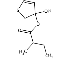 CCC(C)C(=O)OC1(O)C=CSC1